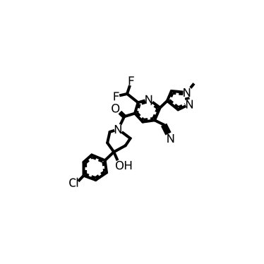 Cn1cc(-c2nc(C(F)F)c(C(=O)N3CCC(O)(c4ccc(Cl)cc4)CC3)cc2C#N)cn1